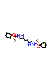 S=C(NCCCCCCNC(=S)Oc1ccccc1)Oc1ccccc1